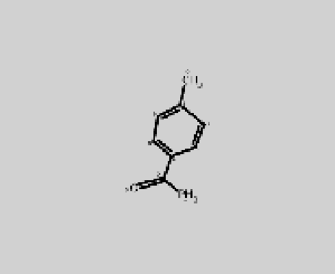 Cc1ccc(C(=O)P)cc1